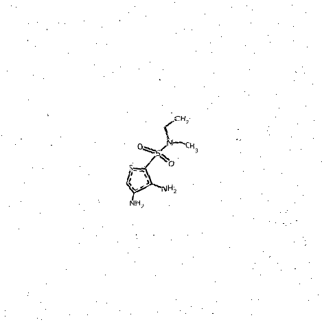 CCN(C)S(=O)(=O)c1scc(N)c1N